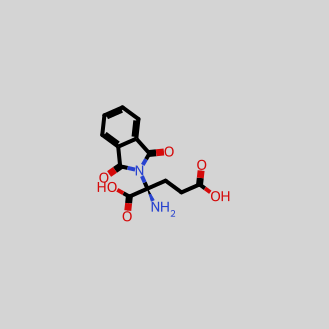 N[C@@](CCC(=O)O)(C(=O)O)N1C(=O)c2ccccc2C1=O